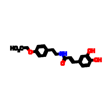 O=C(O)COc1ccc(CCNC(=O)C=Cc2ccc(O)c(O)c2)cc1